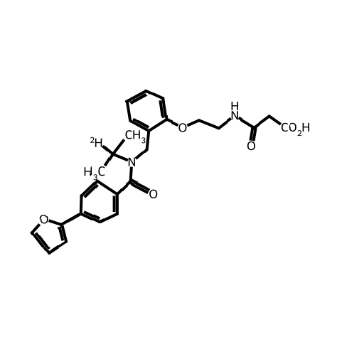 [2H]C(C)(C)N(Cc1ccccc1OCCNC(=O)CC(=O)O)C(=O)c1ccc(-c2ccco2)cc1